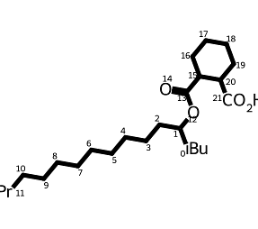 CCC(C)C(CCCCCCCCCC(C)C)OC(=O)C1CCCCC1C(=O)O